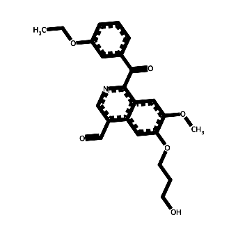 CCOc1cccc(C(=O)c2ncc(C=O)c3cc(OCCCO)c(OC)cc23)c1